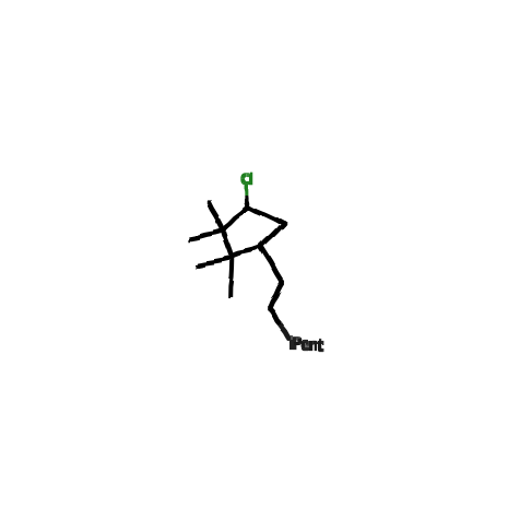 CCCC(C)CCC1CC(Cl)C(C)(C)C1(C)C